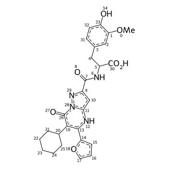 COc1cc(CC(NC(=O)c2cc3[nH]c(-c4ccco4)c(C4CCCCC4)c(=O)n3n2)C(=O)O)ccc1O